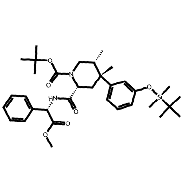 COC(=O)[C@@H](NC(=O)[C@H]1C[C@@](C)(c2cccc(O[Si](C)(C)C(C)(C)C)c2)[C@@H](C)CN1C(=O)OC(C)(C)C)c1ccccc1